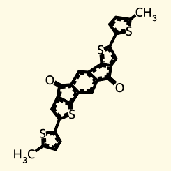 Cc1ccc(-c2cc3c(=O)c4cc5c(cc4c3s2)c(=O)c2cc(-c3ccc(C)s3)sc25)s1